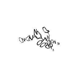 Cn1c2c(c(=O)n(C)c1=O)N(C(=O)c1ccnc(N3CCC(N4CCCCC4)CC3)c1)CN2Cc1ccccc1